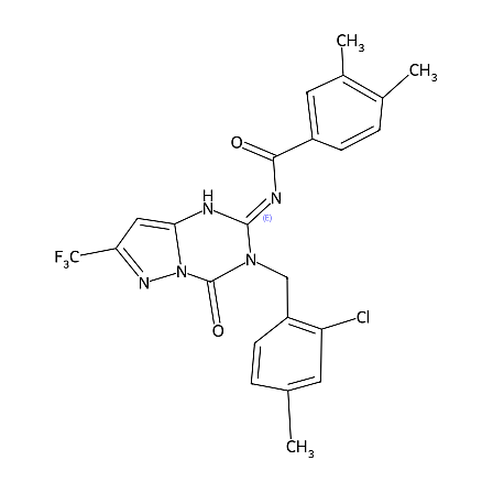 Cc1ccc(Cn2c(=O)n3nc(C(F)(F)F)cc3[nH]/c2=N\C(=O)c2ccc(C)c(C)c2)c(Cl)c1